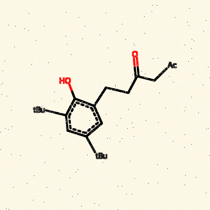 CC(=O)CC(=O)CCc1cc(C(C)(C)C)cc(C(C)(C)C)c1O